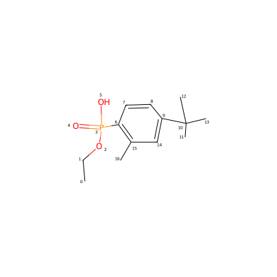 CCOP(=O)(O)c1ccc(C(C)(C)C)cc1C